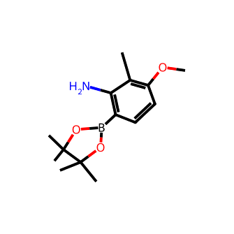 COc1ccc(B2OC(C)(C)C(C)(C)O2)c(N)c1C